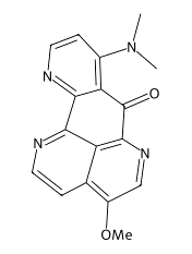 COc1cnc2c3c(nccc13)-c1nccc(N(C)C)c1C2=O